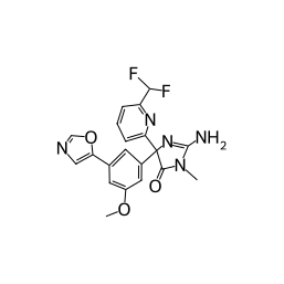 COc1cc(-c2cnco2)cc(C2(c3cccc(C(F)F)n3)N=C(N)N(C)C2=O)c1